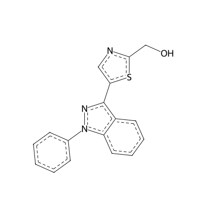 OCc1ncc(-c2nn(-c3ccccc3)c3ccccc23)s1